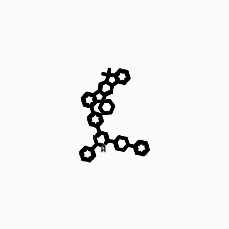 CC1(C)c2ccccc2C2C=C3C(=CC21)c1cccc(-c2ccc(C4=NC(c5ccccc5)NC(C5=CCC(c6ccccc6)CC5)=C4)cc2)c1C31CCCCC1